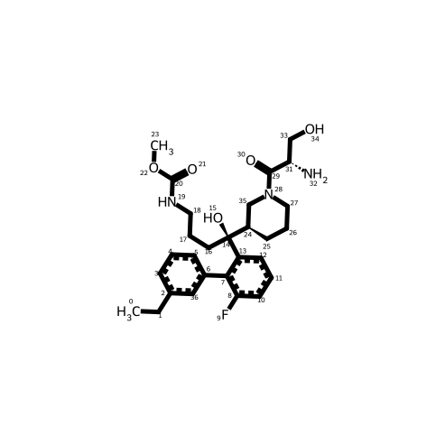 CCc1cccc(-c2c(F)cccc2[C@](O)(CCCNC(=O)OC)[C@@H]2CCCN(C(=O)[C@@H](N)CO)C2)c1